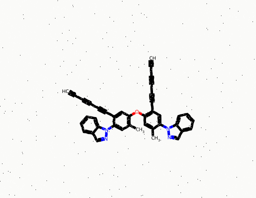 C#CC#CC#Cc1cc(-n2ncc3ccccc32)c(C)cc1Oc1cc(C#CC#CC#C)c(-n2ncc3ccccc32)cc1C